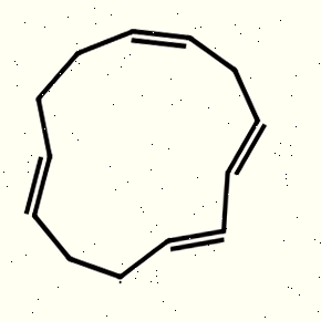 [CH]1/C=C/C=C/C/C=C\CC/C=C/C1